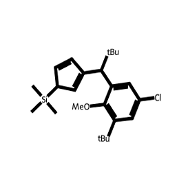 COc1c(C(C2=CC([Si](C)(C)C)C=C2)C(C)(C)C)cc(Cl)cc1C(C)(C)C